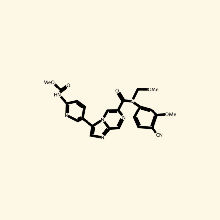 COCN(C(=O)c1cn2c(-c3ccc(NC(=O)OC)nc3)cnc2cn1)c1ccc(C#N)c(OC)c1